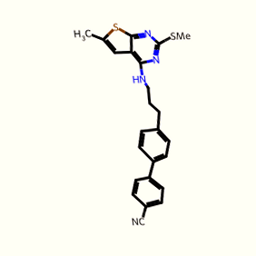 CSc1nc(NCCCc2ccc(-c3ccc(C#N)cc3)cc2)c2cc(C)sc2n1